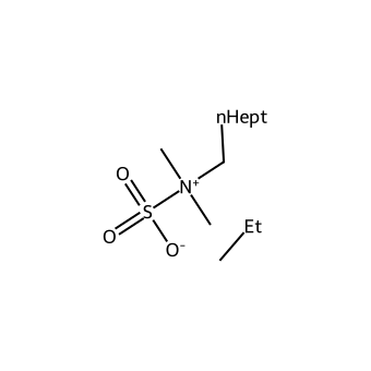 CCC.CCCCCCCC[N+](C)(C)S(=O)(=O)[O-]